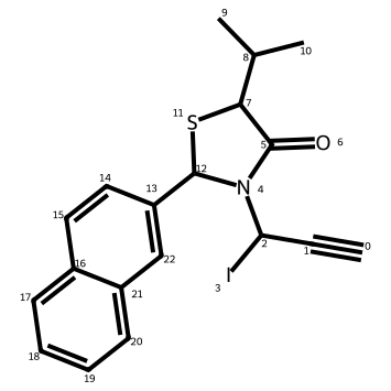 C#CC(I)N1C(=O)C(C(C)C)SC1c1ccc2ccccc2c1